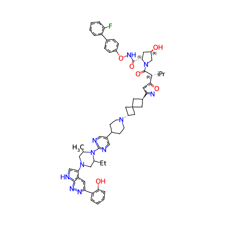 CCC1CN(c2c[nH]c3nnc(-c4ccccc4O)cc23)CC(C)N1c1ncc(C2CCN([C@H]3CC4(C[C@H](c5cc([C@H](C(=O)N6C[C@H](O)C[C@H]6C(=O)NOc6ccc(-c7ccccc7F)cc6)C(C)C)on5)C4)C3)CC2)cn1